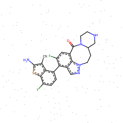 N#Cc1c(N)sc2c(F)ccc(-c3c(F)cc4c5c3cnn5CCC3CNCCN3C4=O)c12